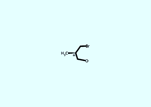 C[C@H](C[O])CBr